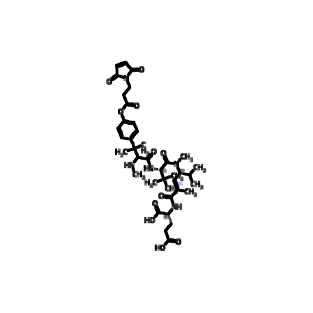 CNC(C(=O)N[C@H](C(=O)N(C)[C@H](/C=C(\C)C(=O)N[C@H](CCC(=O)O)C(=O)O)C(C)C)C(C)(C)C)C(C)(C)c1ccc(OC(=O)CCN2C(=O)C=CC2=O)cc1